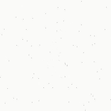 NC1=N[C@@]2(CCO1)c1cc(-c3cccnc3F)ccc1Oc1c2cc(-c2cccnc2F)nc1F